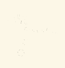 CCCC1(S(=O)(=O)NC(=O)[C@@]23C[C@H]2CCCCCCC[C@H](NC(=O)OC(C)(C)C)C(=O)N2C[C@H](OC(=O)N4Cc5cccc(F)c5C4)C[C@H]2C(=O)N3)CC1